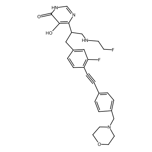 O=c1[nH]cnc(C(CNCCF)Cc2ccc(C#Cc3ccc(CN4CCOCC4)cc3)c(F)c2)c1O